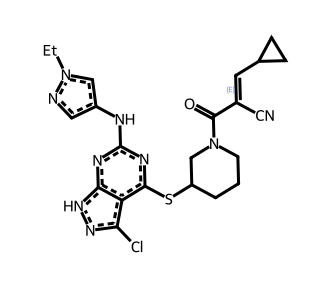 CCn1cc(Nc2nc(SC3CCCN(C(=O)/C(C#N)=C/C4CC4)C3)c3c(Cl)n[nH]c3n2)cn1